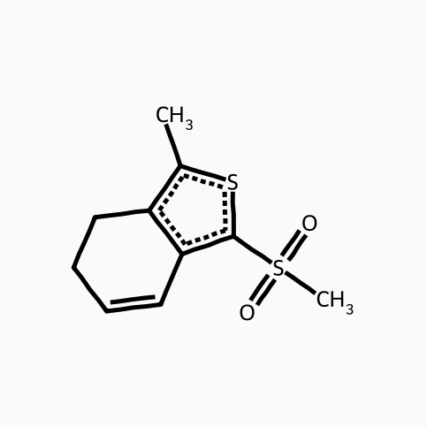 Cc1sc(S(C)(=O)=O)c2c1CCC=C2